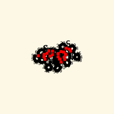 c1ccc(-c2ccccc2N(c2ccccc2-c2ccc3sc4ccc(-c5ccc6c(c5)sc5cccc(N(c7ccccc7-c7ccc8ccccc8c7)c7ccccc7-c7ccc8sc9ccccc9c8c7)c56)cc4c3c2)c2cccc3sc4ccccc4c23)c(-c2ccc3ccccc3c2)c1